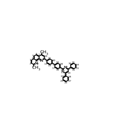 Cc1ccc2ccc3c(C)cc(-c4ccc(-c5ccc(-c6nc(-c7ccccc7)cc(-c7ccccc7)n6)cc5)cc4)nc3c2n1